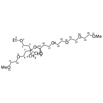 CCOCCP(C)(C)(CCOCCOC)OC(=O)CCOCCOCCOCCOC